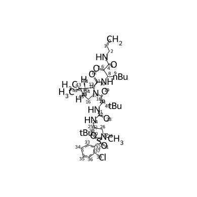 C=CCNC(=O)C(=O)C(CCCC)NC(=O)[C@@H]1[C@@H]2[C@H](CN1C(=O)[C@@H](NC(=O)N[C@H](CN(C)S(=O)(=O)c1ccccc1Cl)C(C)(C)C)C(C)(C)C)C2(C)C